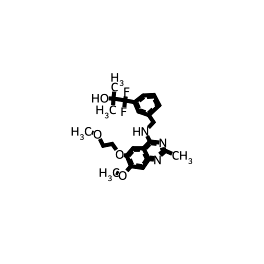 COCCOc1cc2c(NCc3cccc(C(F)(F)C(C)(C)O)c3)nc(C)nc2cc1OC